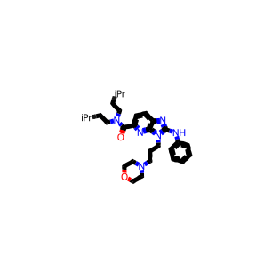 CC(C)CCN(CCC(C)C)C(=O)c1ccc2nc(Nc3ccccc3)n(CCCN3CCOCC3)c2n1